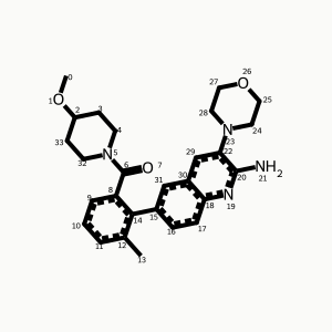 COC1CCN(C(=O)c2cccc(C)c2-c2ccc3nc(N)c(N4CCOCC4)cc3c2)CC1